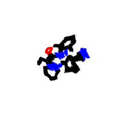 CCC(C(=O)Nc1c(C)cccc1C)[N+]1(Cc2cccc(C#N)c2)CCCCC1